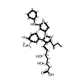 CCC(C)c1nn(-c2ccnc(Nc3ccccc3)c2)c(-c2ccc(F)cc2)c1/C=C/[C@@H](O)C[C@@H](O)CC(=O)O.[CaH2]